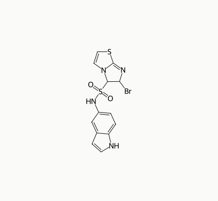 O=S(=O)(Nc1ccc2[nH]ccc2c1)C1C(Br)N=C2SC=CN21